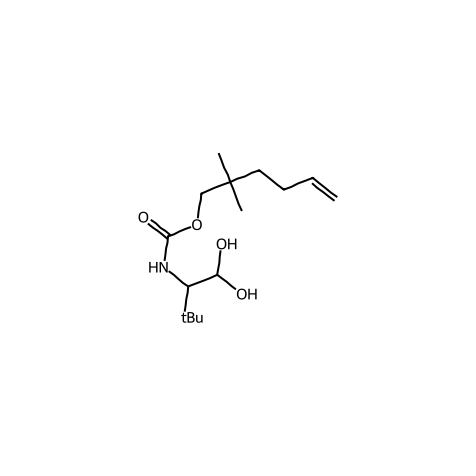 C=CCCC(C)(C)COC(=O)NC(C(O)O)C(C)(C)C